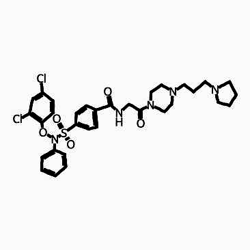 O=C(NCC(=O)N1CCN(CCCN2CCCC2)CC1)c1ccc(S(=O)(=O)N(Oc2ccc(Cl)cc2Cl)c2ccccc2)cc1